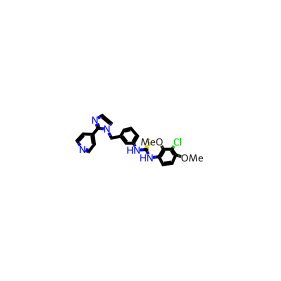 COc1ccc(NC(=S)Nc2cccc(Cn3ccnc3-c3ccncc3)c2)c(OC)c1Cl